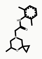 Cc1cccc(C)c1NC(=O)CN1CC(C)OC2(CC2)C1